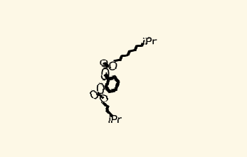 CC(C)CCCCCCCCOC(=O)OC1CCCCC1OC(=O)OCCCCC(C)C